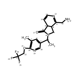 Cc1cc(C(C)N2CC3C(CN)=NC=CC3C2=O)cnc1OCC(F)(F)F